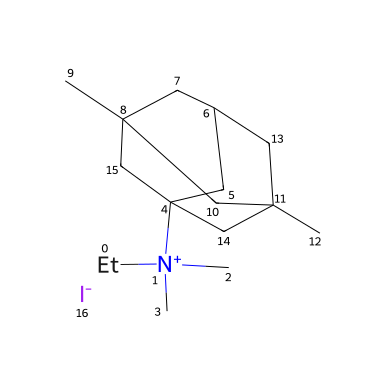 CC[N+](C)(C)C12CC3CC(C)(CC(C)(C3)C1)C2.[I-]